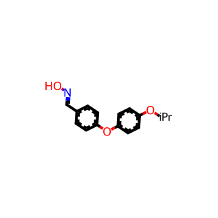 CC(C)Oc1ccc(Oc2ccc(C=NO)cc2)cc1